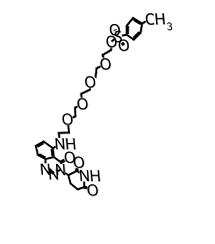 Cc1ccc(S(=O)(=O)OCCOCCOCCOCCOCCNc2cccc3nnn(C4CCC(=O)NC4=O)c(=O)c23)cc1